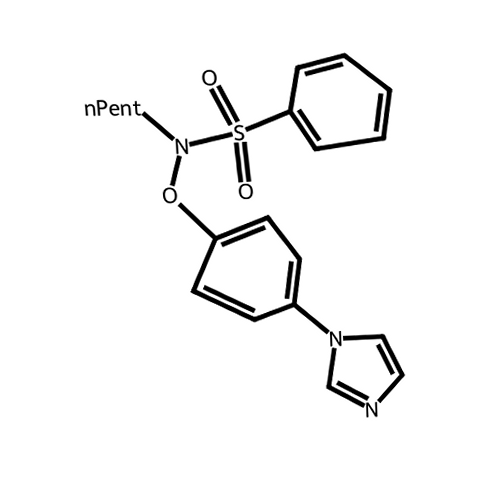 CCCCCN(Oc1ccc(-n2ccnc2)cc1)S(=O)(=O)c1ccccc1